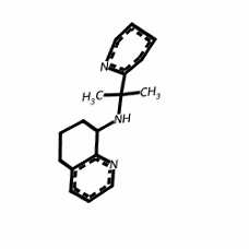 CC(C)(NC1CCCc2cccnc21)c1ccccn1